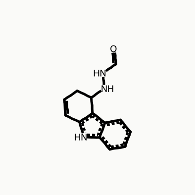 O=CNNC1CC=Cc2[nH]c3ccccc3c21